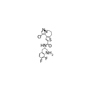 NCC(Cc1ccc(F)c(F)c1)NC(=O)c1cc2c(s1)CCCn1ncc(Cl)c1-2